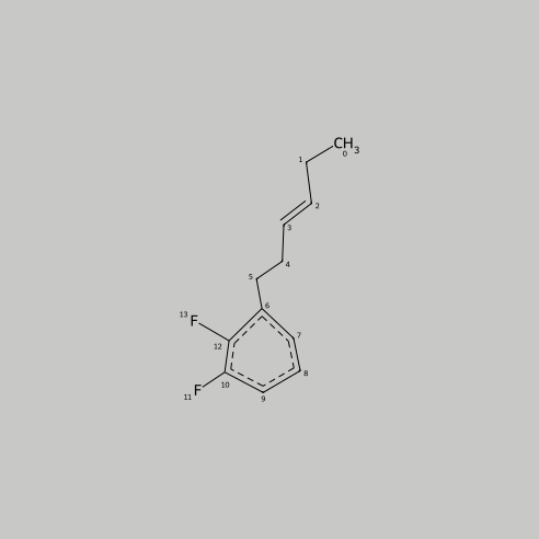 CCC=CCCc1cccc(F)c1F